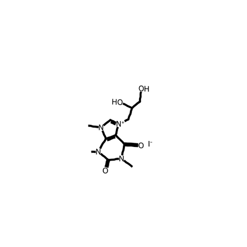 Cn1c(=O)c2c(n(C)c[n+]2CC(O)CO)n(C)c1=O.[I-]